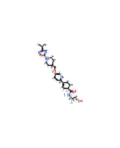 CC(C)c1noc(N2CCC(COc3ccc(C4=CCC(C(=O)N[C@@H](C)CO)CC4)nc3)CC2)n1